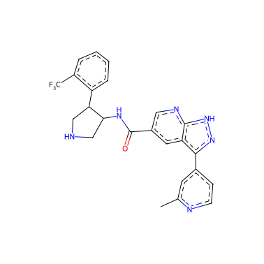 Cc1cc(-c2n[nH]c3ncc(C(=O)NC4CNCC4c4ccccc4C(F)(F)F)cc23)ccn1